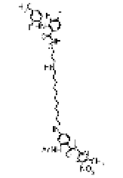 CC(=O)Nc1cc(NCCCCCCCCCCCNCCCONC(=O)c2ccc(F)c(F)c2Nc2ccc(C)cc2F)ccc1C(=O)Nc1nc(C)c([N+](=O)[O-])s1